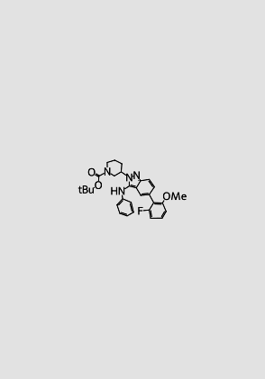 COc1cccc(F)c1-c1ccc2nn(C3CCCN(C(=O)OC(C)(C)C)C3)c(Nc3ccccc3)c2c1